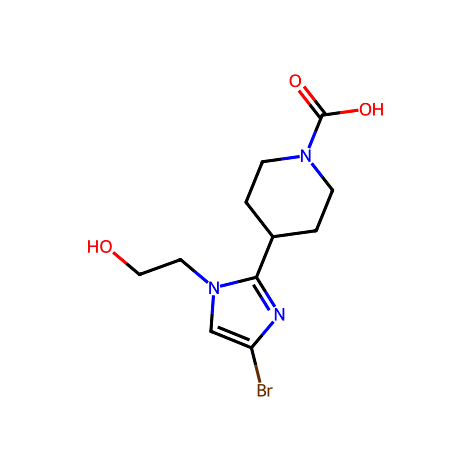 O=C(O)N1CCC(c2nc(Br)cn2CCO)CC1